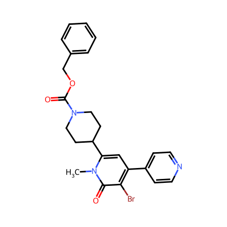 Cn1c(C2CCN(C(=O)OCc3ccccc3)CC2)cc(-c2ccncc2)c(Br)c1=O